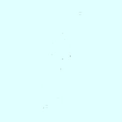 FC=CCC1CCC(CCc2ccc(F)c(F)c2)CC1